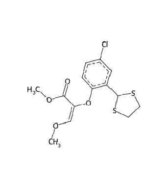 COC=C(Oc1ccc(Cl)cc1C1SCCS1)C(=O)OC